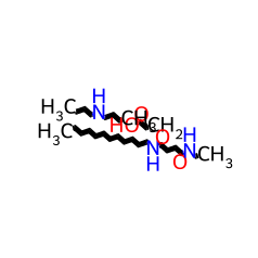 C=CC(=O)O.CCCCCCCCCCCCNC(=O)CCC(=O)NCC.CCCCNCCCC